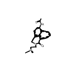 CC(=O)Nc1ccc2c3c(cccc13)C(=O)N(CCN(C)C)C2